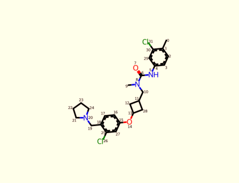 Cc1ccc(NC(=O)N(C)CC2CC(Oc3ccc(CN4CCCC4)c(Cl)c3)C2)cc1Cl